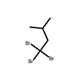 [CH2]C(C)CC(Br)(Br)Br